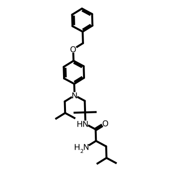 CC(C)CC(N)C(=O)NC(C)(C)CN(CC(C)C)c1ccc(OCc2ccccc2)cc1